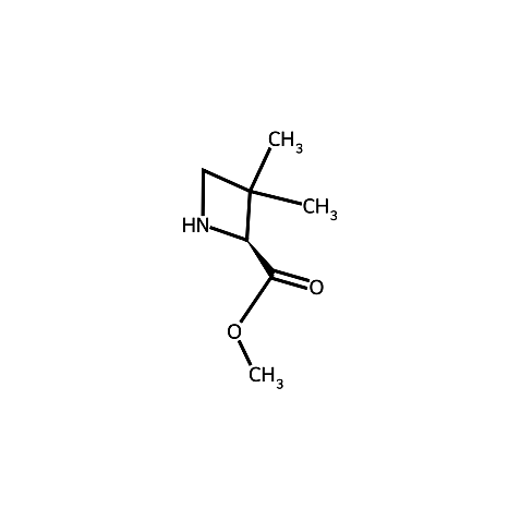 COC(=O)[C@H]1NCC1(C)C